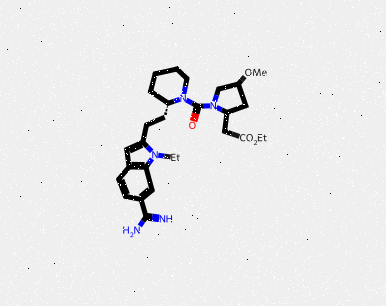 CCOC(=O)CC1CC(OC)CN1C(=O)N1CCCC[C@H]1CCc1cc2ccc(C(=N)N)cc2n1CC